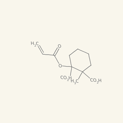 C=CC(=O)OC1(C(=O)O)CCCCC1(C)C(=O)O